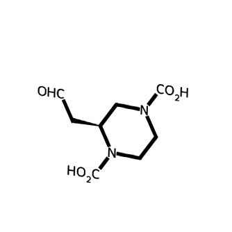 O=CC[C@H]1CN(C(=O)O)CCN1C(=O)O